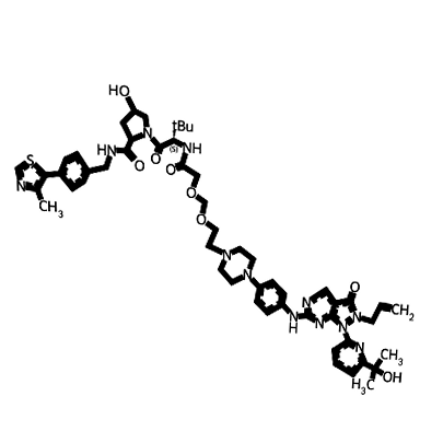 C=CCn1c(=O)c2cnc(Nc3ccc(N4CCN(CCOCOCC(=O)N[C@H](C(=O)N5CC(O)CC5C(=O)NCc5ccc(-c6scnc6C)cc5)C(C)(C)C)CC4)cc3)nc2n1-c1cccc(C(C)(C)O)n1